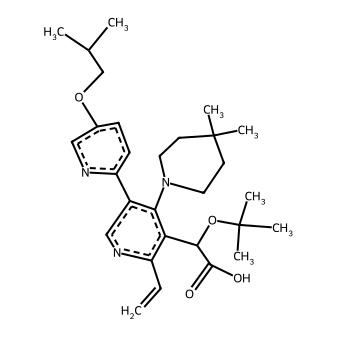 C=Cc1ncc(-c2ccc(OCC(C)C)cn2)c(N2CCC(C)(C)CC2)c1C(OC(C)(C)C)C(=O)O